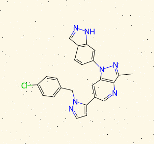 Cc1nn(-c2ccc3cn[nH]c3c2)c2cc(-c3ccnn3Cc3ccc(Cl)cc3)cnc12